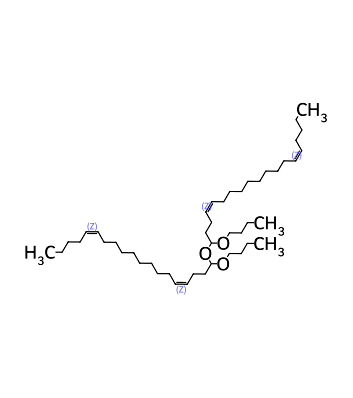 CCCC/C=C\CCCCCCCC/C=C\CCC(OCCCC)OC(CC/C=C\CCCCCCCC/C=C\CCCC)OCCCC